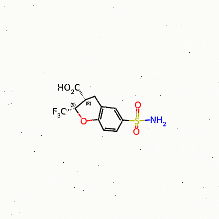 NS(=O)(=O)c1ccc2c(c1)C[C@@H](C(=O)O)[C@@H](C(F)(F)F)O2